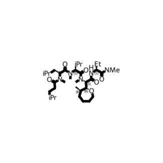 CC[C@H](NC(=O)[C@H]([C@@H]1OCCCC[C@H]1C)N(C)C(=O)[C@H](C(C)C)N(C)C(=O)[C@H](CC(C)C)N(C)C(=O)CCC(C)C)C(=O)NC